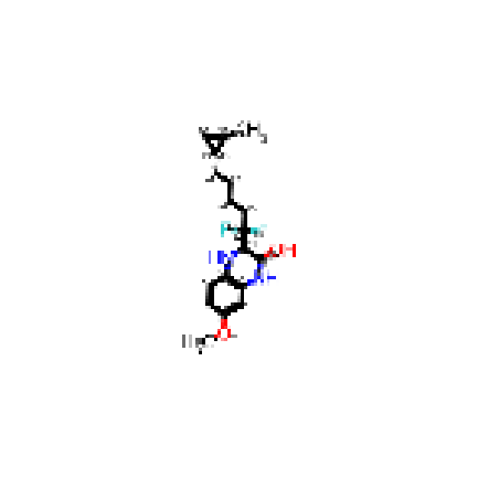 COc1ccc2c(c1)NC(O)C(C(F)(F)CCCC[C@@H]1CC1C)N2